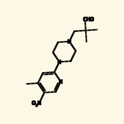 Cc1cc(N2CCN(CC(C)(C)C=O)CC2)ncc1[N+](=O)[O-]